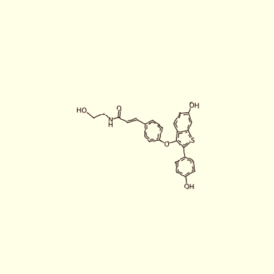 O=C(/C=C/c1ccc(Oc2c(-c3ccc(O)cc3)sc3cc(O)ccc23)cc1)NCCO